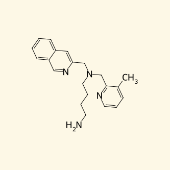 Cc1cccnc1CN(CCCCN)Cc1cc2ccccc2cn1